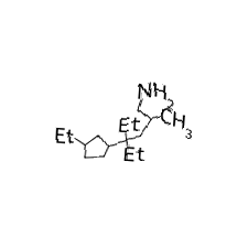 CCC1CCC(C(CC)(CC)CC(C)CN)C1